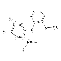 COc1ccccc1Oc1c[n+]([O-])c(Cl)cc1[N+](=O)[O-]